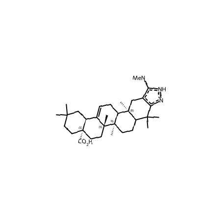 CNc1[nH]nc2c1C[C@@]1(C)C(CC[C@]3(C)C1CC=C1C4CC(C)(C)CC[C@]4(C(=O)O)CC[C@]13C)C2(C)C